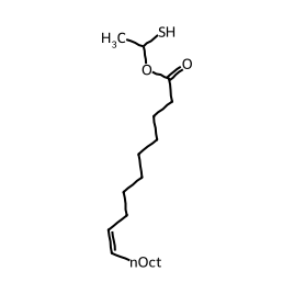 CCCCCCCC/C=C\CCCCCCCC(=O)OC(C)S